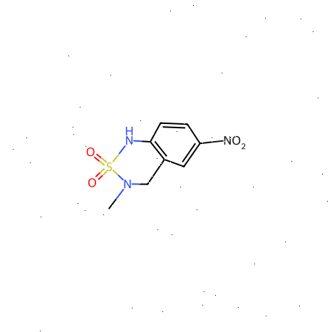 CN1Cc2cc([N+](=O)[O-])ccc2NS1(=O)=O